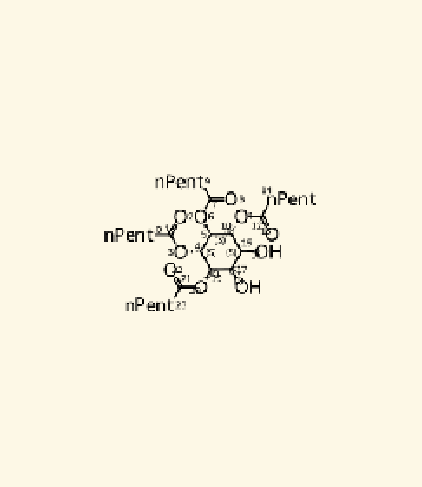 CCCCCC(=O)O[C@@H]1[C@@H](OC(=O)CCCCC)[C@H](OC(=O)CCCCC)[C@@H](O)[C@@H](O)[C@H]1OC(=O)CCCCC